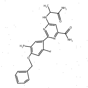 CC(Nc1cc(C(N)=O)nc(-c2cc(P)c(OCc3ccccc3)cc2F)n1)C(N)=O